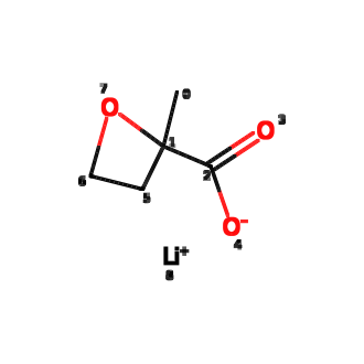 CC1(C(=O)[O-])CCO1.[Li+]